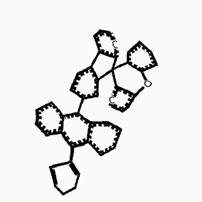 C1=CC(c2c3ccccc3c(-c3ccc4c(c3)C3(c5ccccc5Oc5ccccc53)c3ccccc3-4)c3ccccc23)=CCC1